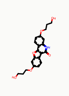 O=c1[nH]c2cc(OCCCO)ccc2c2oc3cc(OCCCO)ccc3c12